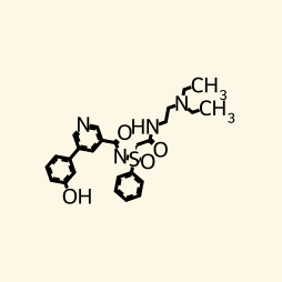 CCN(CC)CCNC(=O)C[S@@](=O)(=NC(=O)c1cncc(-c2cccc(O)c2)c1)c1ccccc1